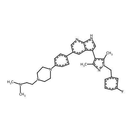 Cc1nn(Cc2cccc(F)c2)c(C)c1-c1c[nH]c2ncc(-c3ccc(N4CCN(CCN(C)C)CC4)cc3)cc12